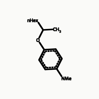 CCCCCCC(C)Oc1ccc(NC)cc1